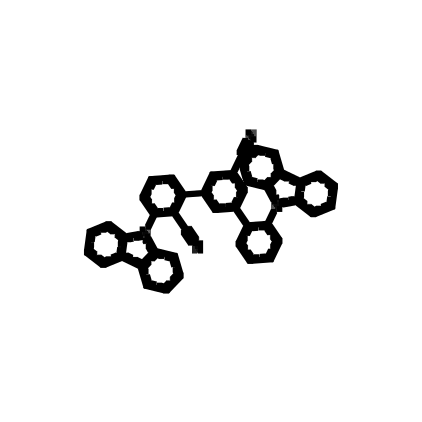 N#Cc1cc(-c2ccccc2-n2c3ccccc3c3ccccc32)cc(-c2cccc(-n3c4ccccc4c4ccccc43)c2C#N)c1